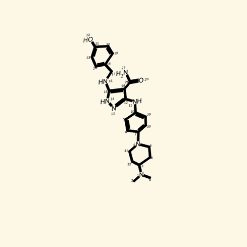 CN(C)C1CCN(c2ccc(Nc3n[nH]c(NCc4ccc(O)cc4)c3C(N)=O)cc2)CC1